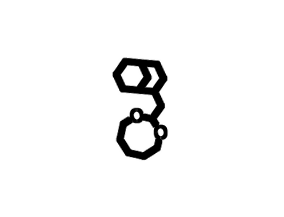 C1CCOC(CC2CCC3CCCC2C3)OCC1